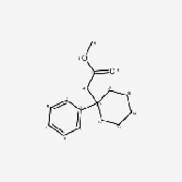 COC(=O)CC1(c2[c]cccc2)CCCCC1